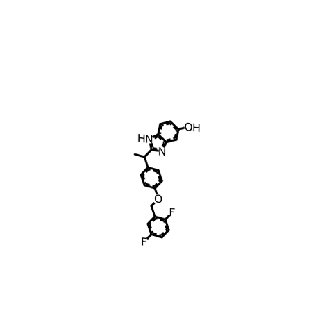 CC(c1ccc(OCc2cc(F)ccc2F)cc1)c1nc2cc(O)ccc2[nH]1